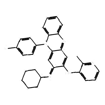 Cc1ncccc1Nc1cc2nc3ccccc3n(-c3ccc(Br)cc3)c-2c/c1=N\C1CCCCC1